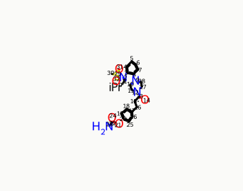 CC(C)CN(c1ccccc1N1CCN(C(=O)[CH]Cc2ccc(OC(N)=O)cc2)CC1)S(C)(=O)=O